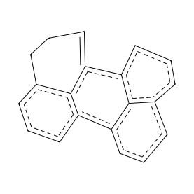 C1=c2c3cccc4cccc(c5cccc(c25)CC1)c43